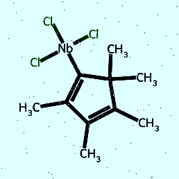 CC1=C(C)C(C)(C)[C]([Nb]([Cl])([Cl])[Cl])=C1C